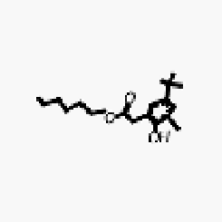 CCCCCCCOC(=O)Cc1cc(C(C)(C)C)cc(C)c1O